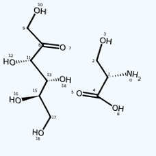 N[C@@H](CO)C(=O)O.O=C(CO)[C@@H](O)[C@H](O)[C@H](O)CO